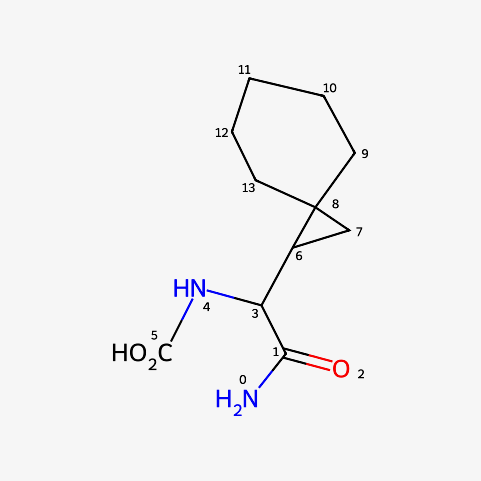 NC(=O)C(NC(=O)O)C1CC12CCCCC2